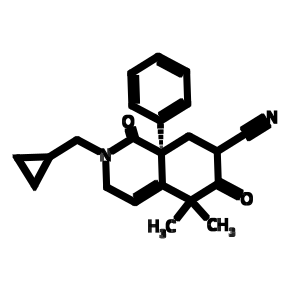 CC1(C)C(=O)C(C#N)C[C@]2(c3ccccc3)C(=O)N(CC3CC3)CC=C12